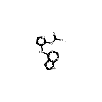 CC(=O)Oc1occc1Nc1ncnc2[nH]ccc12